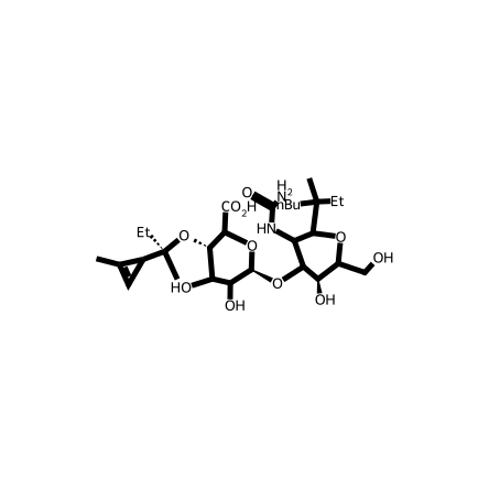 CCCCC(C)(CC)C1OC(CO)[C@@H](O)C(O[C@@H]2OC(C(=O)O)[C@@H](O[C@](C)(CC)C3C=C3C)C(O)C2O)C1NC(N)=O